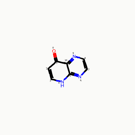 O=c1cc[nH]c2nccnc12